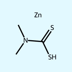 CN(C)C(=S)S.[Zn]